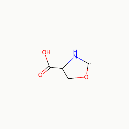 O=C(O)C1CO[CH]N1